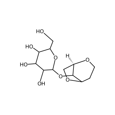 OCC1OC(OC2C3CCO[C@@H]2CO3)C(O)C(O)C1O